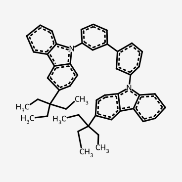 CCC(CC)(CC)c1ccc2c(c1)c1ccccc1n2-c1cccc(-c2cccc(-n3c4ccccc4c4cc(C(CC)(CC)CC)ccc43)c2)c1